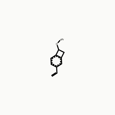 C=Cc1ccc2c(c1)CC2OCCC